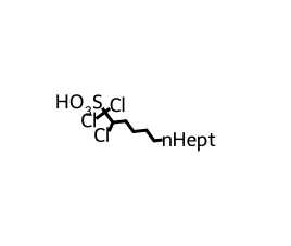 CCCCCCCCCCCC(Cl)C(Cl)(Cl)S(=O)(=O)O